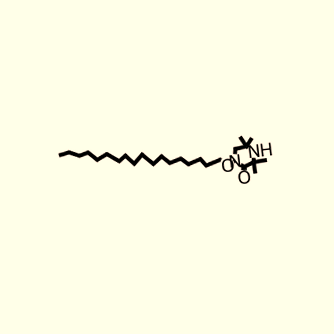 CCCCCCCCCCCCCCCCCCON1CC(C)(C)NC(C)(C)C1=O